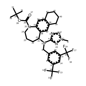 Cn1nnc(N(Cc2cc(C(F)(F)F)cc(C(F)(F)F)c2)[C@H]2CCCN(C(=O)OC(C)(C)C)c3cc4c(cc32)CCCC4)n1